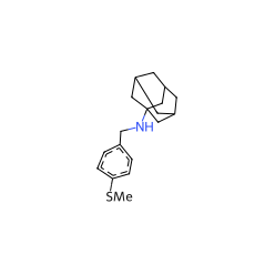 CSc1ccc(CNC23CC4CC(CC(C4)C2)C3)cc1